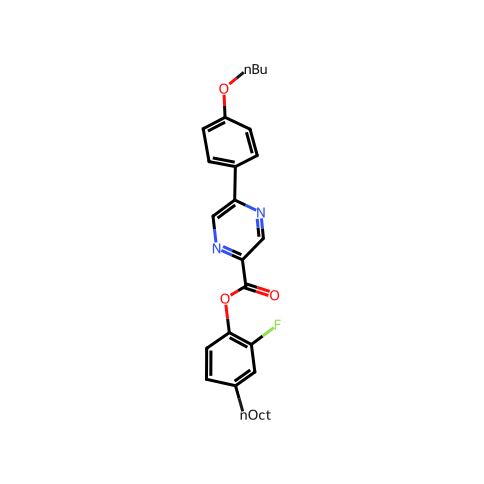 CCCCCCCCc1ccc(OC(=O)c2cnc(-c3ccc(OCCCC)cc3)cn2)c(F)c1